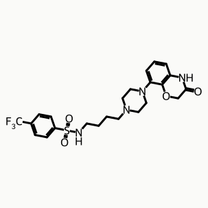 O=C1COc2c(cccc2N2CCN(CCCCNS(=O)(=O)c3ccc(C(F)(F)F)cc3)CC2)N1